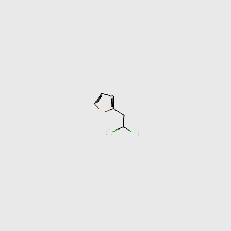 ClC(Cl)Cc1cccs1